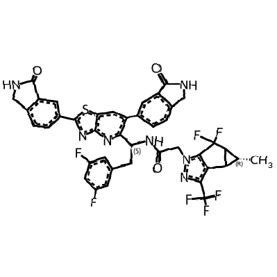 C[C@@H]1C2c3c(C(F)(F)F)nn(CC(=O)N[C@@H](Cc4cc(F)cc(F)c4)c4nc5nc(-c6ccc7c(c6)C(=O)NC7)sc5cc4-c4ccc5c(c4)C(=O)NC5)c3C(F)(F)C21